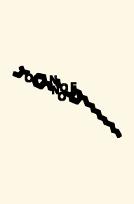 CCCCCCCCCCCCc1ccc(C(=O)Oc2cnc(-c3ccc(OCC(C)CC)cc3)cn2)c(F)c1